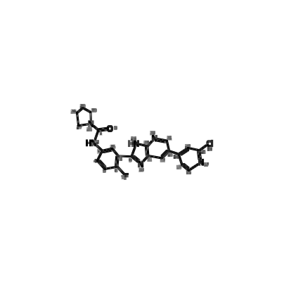 O=C(Nc1ccc(F)c(-c2nc3cc(-c4ccnc(Cl)c4)cnc3[nH]2)c1)N1CCCC1